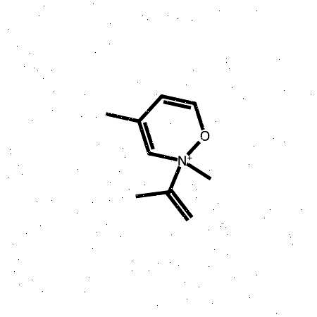 C=C(C)[N+]1(C)C=C(C)C=CO1